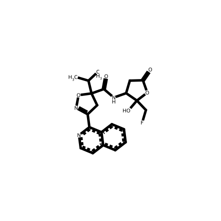 CC(C)C1(C(=O)NC2CC(=O)OC2(O)CF)CC(c2nccc3ccccc23)=NO1